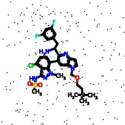 Cn1nc(NS(C)(=O)=O)c2c(Cl)ccc(-c3cc4c(ccn4COCC[Si](C)(C)C)nc3C(N)Cc3cc(F)cc(F)c3)c21